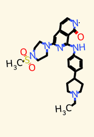 CCN1CCC(c2ccc(Nc3nc(N4CCN(S(C)(=O)=O)CC4)cc4c3C(=O)[N]C=C4)cc2)CC1